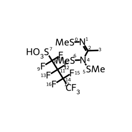 CSN=C(C)N(SC)SC.O=S(=O)(O)C(F)(F)C(F)(F)C(F)(F)C(F)(F)F